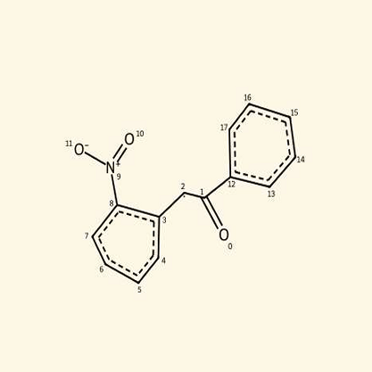 O=C([CH]c1ccccc1[N+](=O)[O-])c1ccccc1